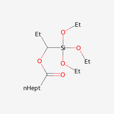 CCCCCCCC(=O)OC(CC)[Si](OCC)(OCC)OCC